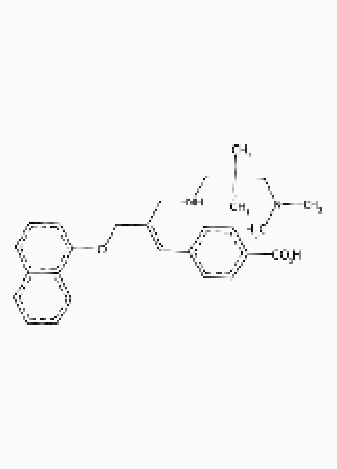 CN(C)CC(C)(C)CNCC(=Cc1ccc(C(=O)O)cc1)COc1cccc2ccccc12